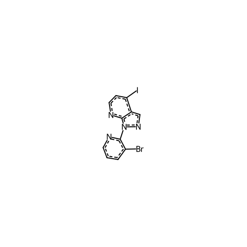 Brc1cccnc1-n1ncc2c(I)ccnc21